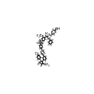 Cc1c(N)c(-c2cccc(N3CCN(c4ccc(NS(=O)(=O)c5ccc(N[C@H](CCN6CCC(O)CC6)CSc6ccccc6)c(CC(F)(F)F)c5)cc4)CC3)c2)c(-c2ccc(Cl)cc2)n1C